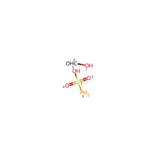 O=CO.O=S(=O)(O)P